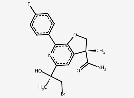 C[C@@](O)(CBr)c1cc2c(c(-c3ccc(F)cc3)n1)OC[C@]2(C)C(N)=O